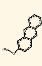 CCCCOc1ccc2cc3ccc[c]c3cc2c1